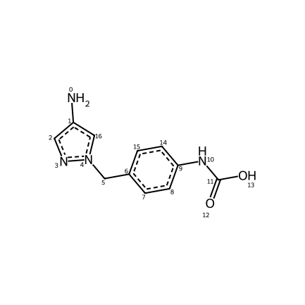 Nc1cnn(Cc2ccc(NC(=O)O)cc2)c1